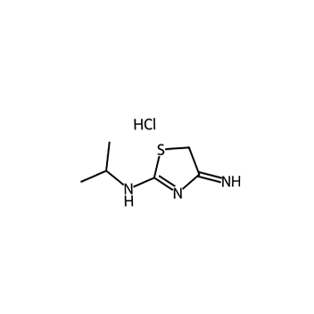 CC(C)NC1=NC(=N)CS1.Cl